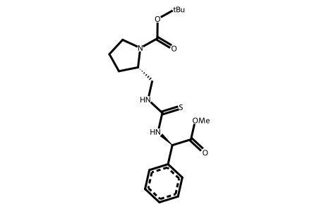 COC(=O)[C@H](NC(=S)NC[C@@H]1CCCN1C(=O)OC(C)(C)C)c1ccccc1